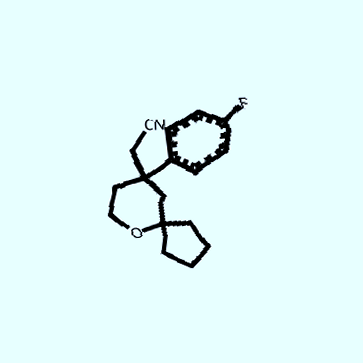 N#CCC1(c2ccc(F)cc2)CCOC2(CCCC2)C1